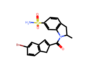 CC1Cc2ccc(S(N)(=O)=O)cc2N1C(=O)C1=Cc2cc(Br)ccc2C1